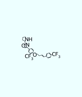 FC(F)(F)c1ccc(/C=C/CCOc2ccc(-c3coc(C4CCCN4)n3)cc2C(F)(F)F)cc1